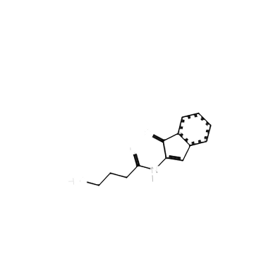 CCCCC(=O)NC1=Cc2ccccc2C1=O